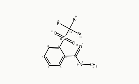 CNC(=O)c1ccccc1S(=O)(=O)C(Br)(Br)Br